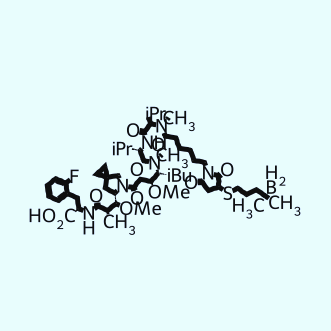 BC(C)(C)CCCSC1CC(=O)N(CCCCCC(=O)N(C)C(C(=O)N[C@H](C(=O)N(C)[C@@H]([C@@H](C)CC)[C@@H](CC(=O)N2CC3(CC3)C[C@H]2C(OC)[C@@H](C)C(=O)N[C@@H](Cc2ccccc2F)C(=O)O)OC)C(C)C)C(C)C)C1=O